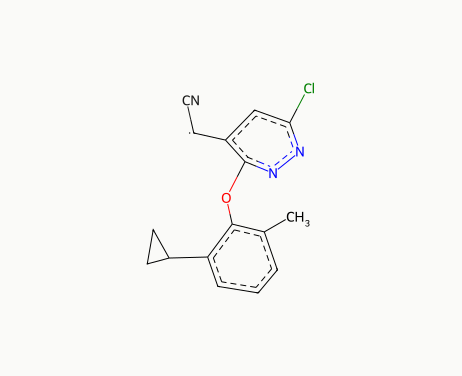 Cc1cccc(C2CC2)c1Oc1nnc(Cl)cc1[CH]C#N